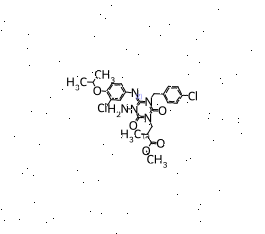 COC(=O)[C@@H](C)Cn1c(=O)n(N)/c(=N\c2ccc(OC(C)C)c(Cl)c2)n(Cc2ccc(Cl)cc2)c1=O